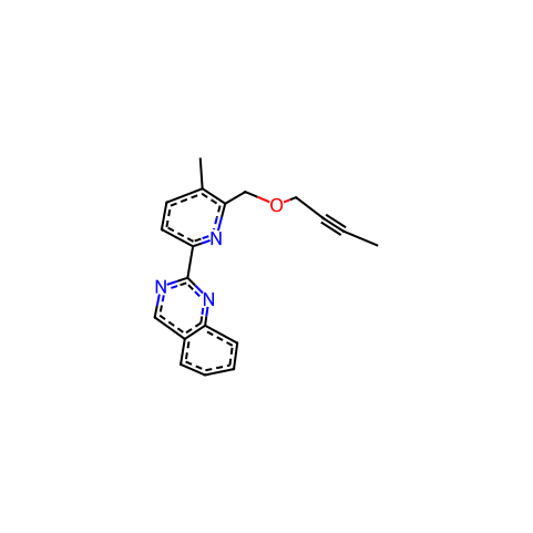 CC#CCOCc1nc(-c2ncc3ccccc3n2)ccc1C